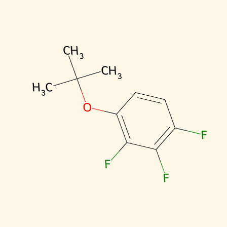 CC(C)(C)Oc1ccc(F)c(F)c1F